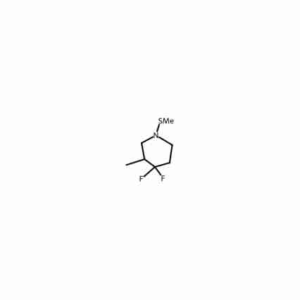 CSN1CCC(F)(F)C(C)C1